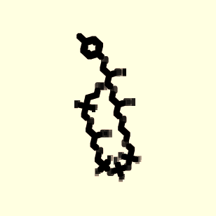 Cc1ccc(OCC(O)COCC(O)COCCOCC(F)(F)OC(F)(F)OC(F)(F)COCC(O)COCC(F)(F)CCO)cc1